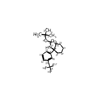 CC(C)(C)OC(=O)NC1(c2cccc(C(F)(F)F)c2)CCCCC1=O